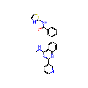 CNc1nc(-c2cccnc2)nc2ccc(-c3cccc(C(=O)Nc4nccs4)c3)cc12